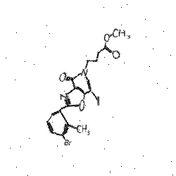 COC(=O)CCCn1cc(I)c2oc(-c3cccc(Br)c3C)nc2c1=O